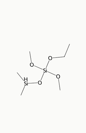 CCO[Si](OC)(OC)O[SiH](C)C